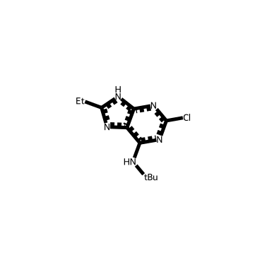 CCc1nc2c(NC(C)(C)C)nc(Cl)nc2[nH]1